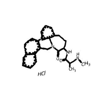 CNC(C)C(=O)NC1CCc2ccccc2N(Cc2c(Cl)ccc3ccccc23)C1=O.Cl